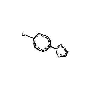 Brc1ccc(-c2nccs2)cc1